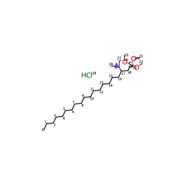 CCCCCCCCCCCCCCCCCC(C[Si](OC)(OC)OC)N(C)C.Cl